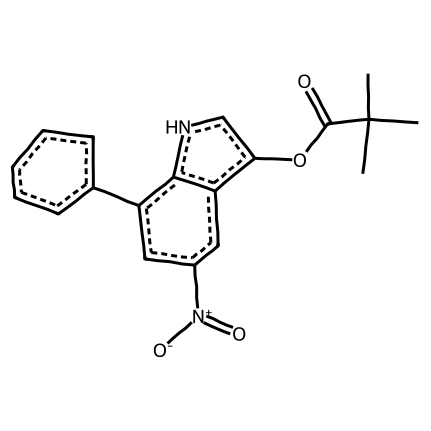 CC(C)(C)C(=O)Oc1c[nH]c2c(-c3ccccc3)cc([N+](=O)[O-])cc12